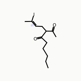 CCCCCC(=O)C(C/C=C(/C)I)C(C)=O